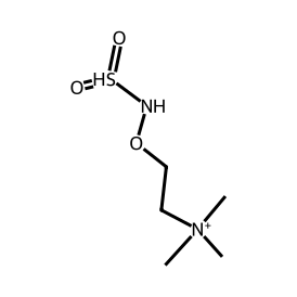 C[N+](C)(C)CCON[SH](=O)=O